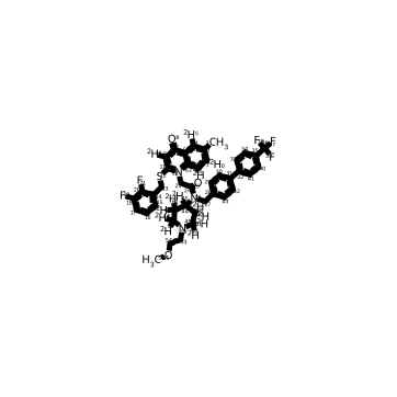 [2H]c1c(C)c([2H])c2c(=O)c([2H])c(SCc3cccc(F)c3F)n(CC(=O)N(Cc3ccc(-c4ccc(C(F)(F)F)cc4)cc3)C3([2H])C([2H])([2H])C([2H])([2H])N(CCOC)C([2H])([2H])C3([2H])[2H])c2c1[2H]